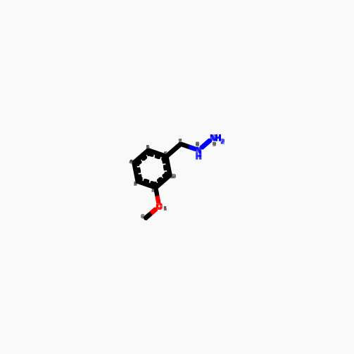 COc1cccc(CNN)c1